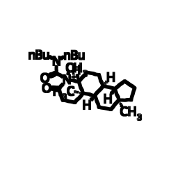 CCCCN(CCCC)C(=O)[N+]1(C)C(=O)CC[C@@]2(C)[C@H]1CC[C@H]1[C@@H]3CCC[C@@]3(C)CC[C@@H]12